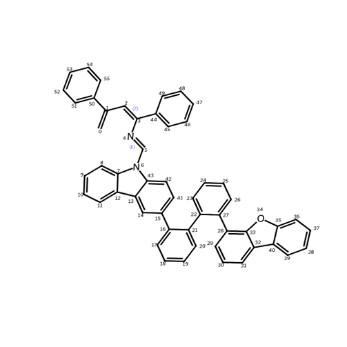 C=C(/C=C(\N=C\n1c2ccccc2c2cc(-c3ccccc3-c3ccccc3-c3cccc4c3oc3ccccc34)ccc21)c1ccccc1)c1ccccc1